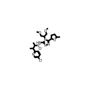 COCC(COC)n1c(N[S+]([O-])C(C)C(C)c2ccc(Cl)cn2)nnc1C1CCC(C)O1